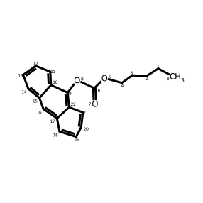 CCCCCOC(=O)Oc1c2ccccc2cc2ccccc12